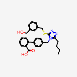 CCCCc1nnc(SCc2cccc(CO)c2)n1Cc1ccc(-c2ccccc2C(=O)O)cc1